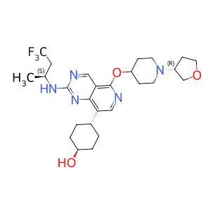 C[C@@H](CC(F)(F)F)Nc1ncc2c(OC3CCN([C@@H]4CCOC4)CC3)ncc([C@H]3CC[C@H](O)CC3)c2n1